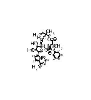 CCC(C)(C)COC(=O)[C@H](C)NP(=O)(OC[C@@]1(C#N)O[C@@H](c2ccc3c(N)ncnn23)[C@H](O)[C@@H]1O)Oc1ccccc1